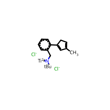 CC1=CCC(c2ccccc2C[N]([Ti+2])C(C)(C)C)=C1.[Cl-].[Cl-]